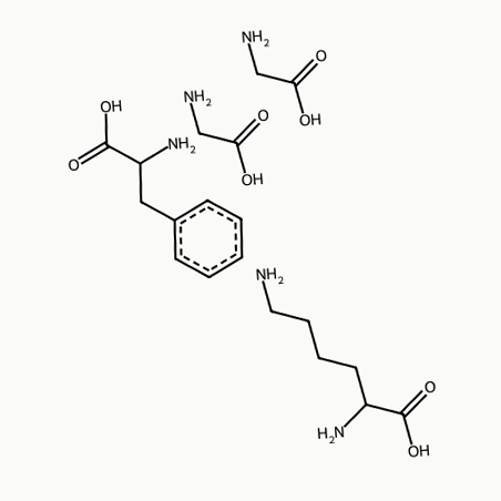 NC(Cc1ccccc1)C(=O)O.NCC(=O)O.NCC(=O)O.NCCCCC(N)C(=O)O